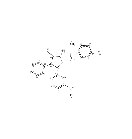 CC(C)(N[C@@H]1C[C@H](c2cccc(OC(F)(F)F)c2)N(c2ccccc2)C1=O)c1ccc(C(F)(F)F)nc1